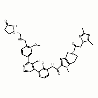 COc1cc(-c2nccc(-c3cccc(NC(=O)c4nc5c(n4C)CCN(C(=O)Cn4nc(C)nc4C)C5)c3Cl)c2Cl)ccc1CNC[C@@H]1CCC(=O)N1